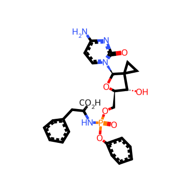 Nc1ccn([C@@H]2O[C@H](COP(=O)(NC(Cc3ccccc3)C(=O)O)Oc3ccccc3)[C@@H](O)C23CC3)c(=O)n1